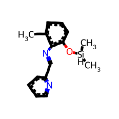 Cc1cccc(O[SiH](C)C)c1N=Cc1ccccn1